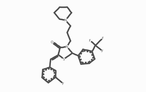 O=C1C(=Cc2cccc(F)c2)SC(c2cccc(C(F)(F)F)c2)N1CCCN1CCCCC1